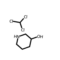 ClC(Cl)Cl.OC1CCCNC1